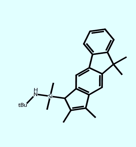 CC1=C(C)C([Si](C)(C)NC(C)(C)C)c2cc3c(cc21)C(C)(C)c1ccccc1-3